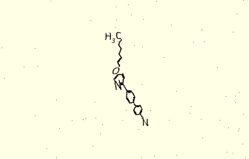 CCCCCC=CCOc1ccc(-c2ccc(-c3ccc(C#N)cc3)cc2)nc1